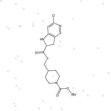 CC(C)(C)OC(=O)N1CCC(CSC(=O)C2Cc3cnc(Cl)cc3N2)CC1